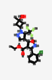 CCOC(=O)c1c(-c2ccccc2Cl)noc1-c1cnn(C2CC(C)(O)C2)c1C(F)(F)F